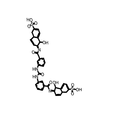 O=C(Nc1cccc(C(=O)N=C2C=CC3CC(S(=O)(=O)O)=CC=C3C2O)c1)Nc1cccc(C(=O)N=C2C=CC3CC(S(=O)(=O)O)=CC=C3C2O)c1